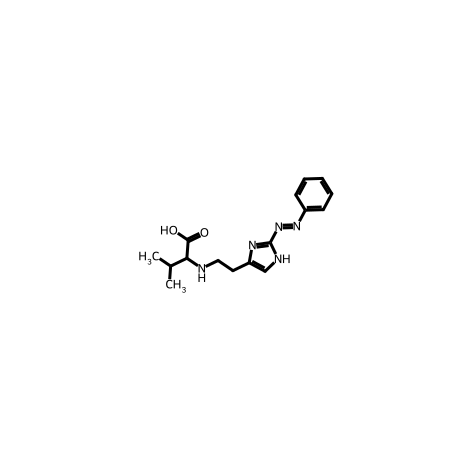 CC(C)C(NCCc1c[nH]c(N=Nc2ccccc2)n1)C(=O)O